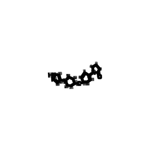 O=C1CCCN1c1ccc(CC2CCN(c3cn[nH]c3)CC2)cc1